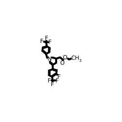 CCOC(=O)CC1CC(c2ccc(C(F)(F)F)c(F)c2)=CN(Cc2ccc(C(F)(F)F)cc2)C1